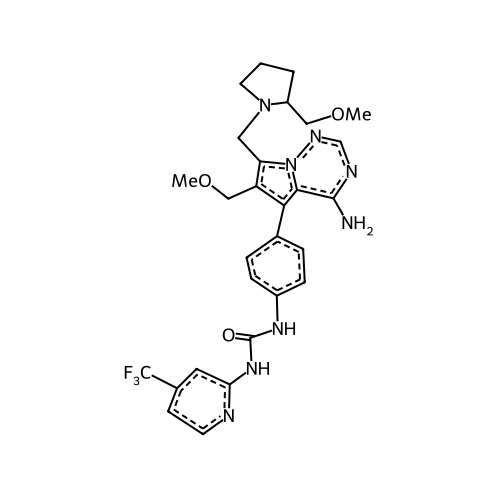 COCc1c(-c2ccc(NC(=O)Nc3cc(C(F)(F)F)ccn3)cc2)c2c(N)ncnn2c1CN1CCCC1COC